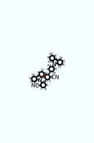 N#Cc1cc(-c2cccc(C#N)c2-n2c3ccccc3c3ccccc32)ccc1-c1ccc(-n2c3ccccc3c3ccccc32)cc1